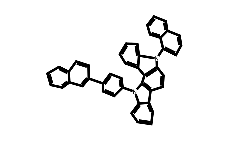 c1ccc2cc(-c3ccc(-n4c5ccccc5c5ccc6c(c7ccccc7n6-c6cccc7ccccc67)c54)cc3)ccc2c1